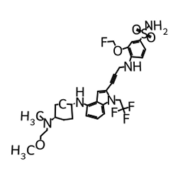 COCCN(C)[C@H]1CC[C@H](Nc2cccc3c2cc(C#CCNc2ccc(S(N)(=O)=O)cc2OCF)n3CC(F)(F)F)CC1